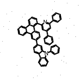 c1ccc(-c2cc(-c3ccccc3)nc(-c3cccc4c5ccccc5c5cc(-c6ccc7c8ccccc8n(-c8ccccc8)c7c6)ccc5c34)c2)cc1